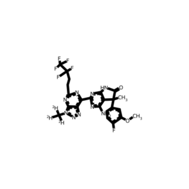 [2H]C([2H])([2H])n1nnc2c(-c3nc(N)c4c(n3)NC(=O)C4(C)c3ccc(F)c(OC)c3)nc(CCC(F)(F)C(F)(F)F)nc21